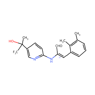 Cc1cccc(/C=C(\C=O)Nc2ccc(C(C)(O)C(F)(F)F)cn2)c1C